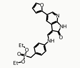 CCOP(=O)(Cc1ccc(NC=C2C(=O)Nc3ncc(-c4ccco4)cc32)cc1)OCC